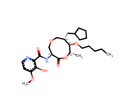 CCCCCO[C@@H]1[C@@H](CC2CCCC2)COC[C@H](NC(=O)c2nccc(OC)c2O)C(=O)O[C@H]1C